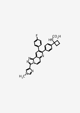 Cn1cnc(-c2nnc3c4cc(-c5ccc(F)cc5)c(-c5ccc(C6(NC(=O)O)CCC6)cc5)nc4ccn23)c1